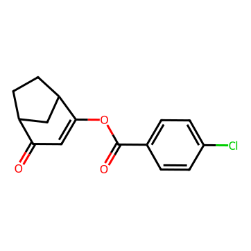 O=C(OC1=CC(=O)C2CCC1C2)c1ccc(Cl)cc1